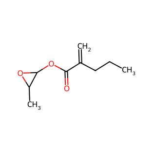 C=C(CCC)C(=O)OC1OC1C